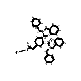 CCOC(=O)C=C1CC[C@@H](C(=O)N(Cc2ccccc2)Cc2ccccc2)[C@H](C(=O)N(Cc2ccccc2)Cc2ccccc2)C1